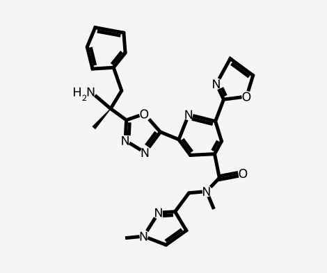 CN(Cc1ccn(C)n1)C(=O)c1cc(-c2ncco2)nc(-c2nnc([C@](C)(N)Cc3ccccc3)o2)c1